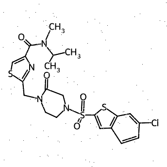 CC(C)N(C)C(=O)c1csc(CN2CCN(S(=O)(=O)c3cc4ccc(Cl)cc4s3)CC2=O)n1